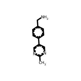 Cc1ncc(-c2ccc(CN)cc2)cn1